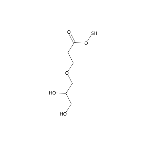 O=C(CCOCC(O)CO)OS